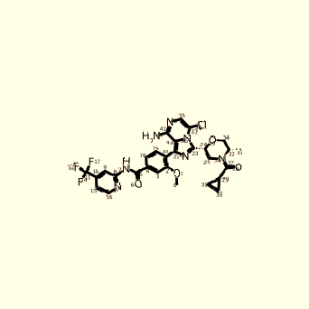 COc1cc(C(=O)Nc2cc(C(F)(F)F)ccn2)ccc1-c1nc([C@H]2CN(C(=O)C3CC3)[C@@H](C)CO2)n2c(Cl)cnc(N)c12